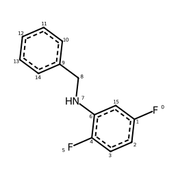 Fc1ccc(F)c(NCc2ccccc2)c1